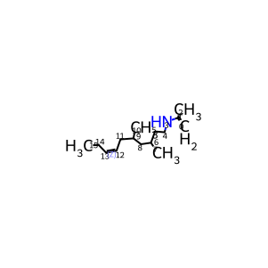 C=C(C)NCCC(C)CC(C)C/C=C\CC